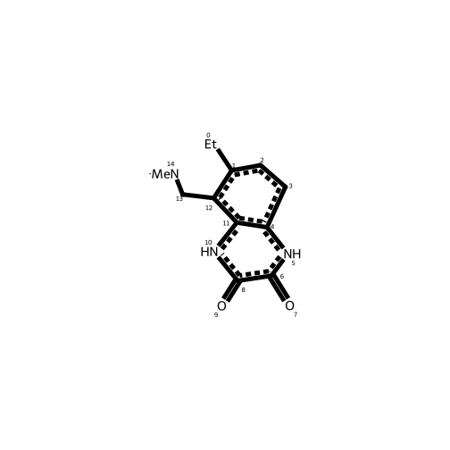 CCc1ccc2[nH]c(=O)c(=O)[nH]c2c1C[N]C